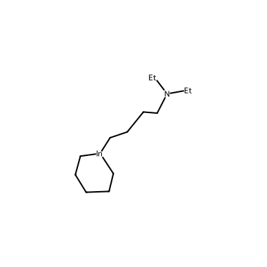 CCN(CC)CCC[CH2][In]1[CH2]CCC[CH2]1